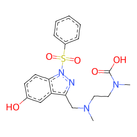 CN(CCN(C)C(=O)O)Cc1nn(S(=O)(=O)c2ccccc2)c2ccc(O)cc12